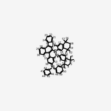 CC1(C)CCC(C)(C)c2cc(N3B4c5cc6c(cc5-n5c7ccccc7c7c8ccccc8c(c4c75)-c4ccc(N(c5ccccc5)c5ccccc5)cc43)C(C)(C)CCC6(C)C)ccc21